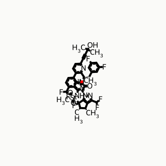 C[C@@H]1c2c(C(F)F)nn(CC(=O)N[C@@H](Cc3cc(F)cc(F)c3)c3nc(C#CC(C)(C)O)ccc3-c3ccc(C(F)F)c4c(NS(C)(=O)=O)nn(C)c34)c2C(F)(F)[C@@H]1C